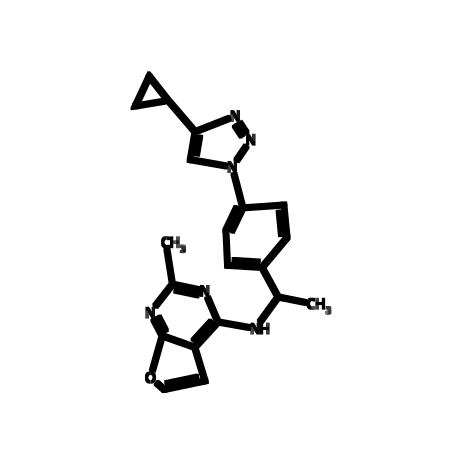 Cc1nc(NC(C)c2ccc(-n3cc(C4CC4)nn3)cc2)c2ccoc2n1